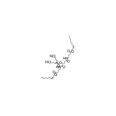 CCCCCC/C=C\COC(=O)CCCNC(=O)CCC(OC(=O)N(CCCO)CCCO)C(=O)NCCCC(=O)OC/C=C\CCCCCC